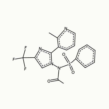 CC(=O)N(n1cc(C(F)(F)F)nc1-c1cccnc1C)S(=O)(=O)c1ccccc1